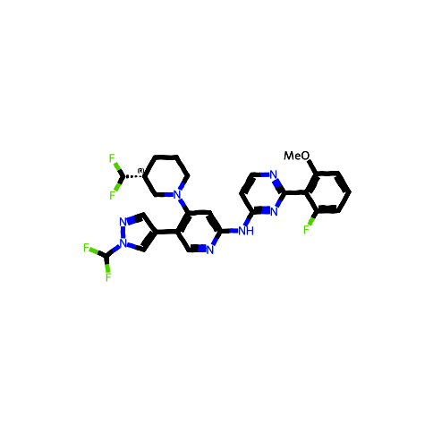 COc1cccc(F)c1-c1nccc(Nc2cc(N3CCC[C@@H](C(F)F)C3)c(-c3cnn(C(F)F)c3)cn2)n1